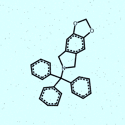 c1ccc(C(c2ccccc2)(c2ccccc2)N2Cc3cc4c(cc3C2)OCO4)cc1